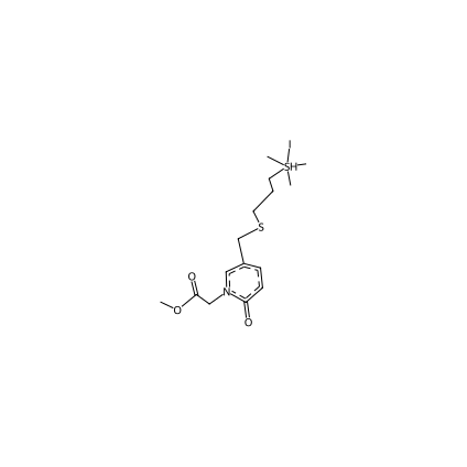 COC(=O)Cn1cc(CSCCC[SH](C)(C)(C)I)ccc1=O